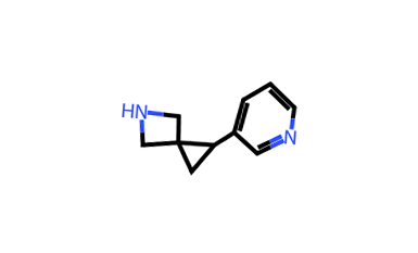 c1cncc(C2CC23CNC3)c1